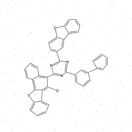 Clc1c(-c2nc(-c3cccc(-c4ccccc4)c3)nc(-c3ccc4oc5ccccc5c4c3)n2)c2ccccc2c2sc3ccccc3c12